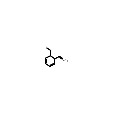 C=CC1C=CC=CC1CI